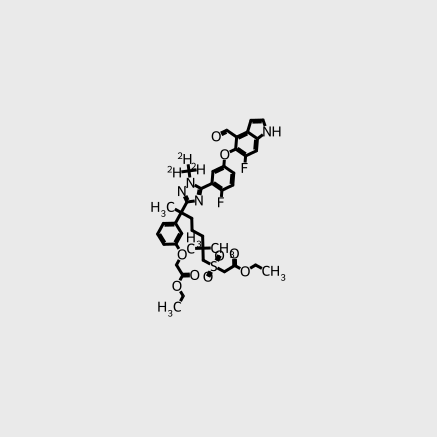 [2H]C([2H])([2H])n1nc(C(C)(CCCC(C)(C)CS(=O)(=O)CC(=O)OCC)c2cccc(OCC(=O)OCC)c2)nc1-c1cc(Oc2c(F)cc3[nH]ccc3c2C=O)ccc1F